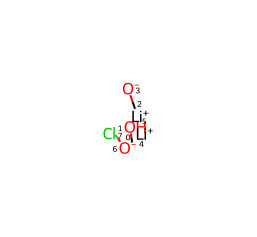 CO.C[O-].[Li+].[Li+].[O-]Cl